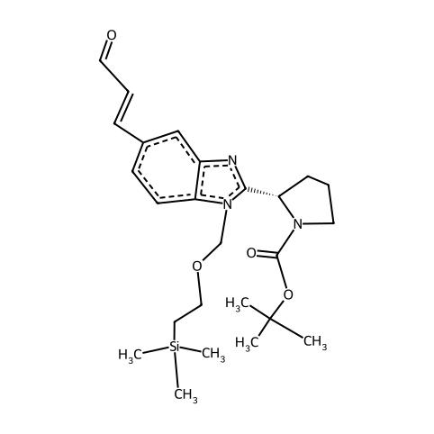 CC(C)(C)OC(=O)N1CCC[C@H]1c1nc2cc(C=CC=O)ccc2n1COCC[Si](C)(C)C